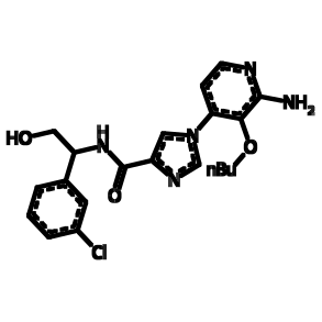 CCCCOc1c(-n2cnc(C(=O)NC(CO)c3cccc(Cl)c3)c2)ccnc1N